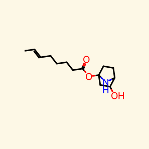 CC=CCCCCC(=O)OC12CCC(N1)C(O)C2